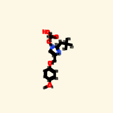 COc1ccc(OCc2cn(OC(=O)O)c(CC(C)(C)C)n2)cc1